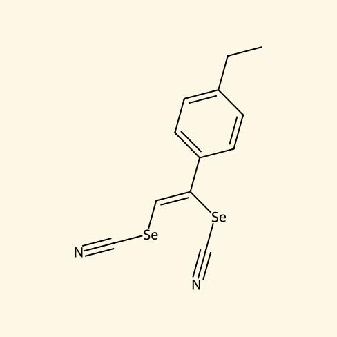 CCc1ccc(C(=C[Se]C#N)[Se]C#N)cc1